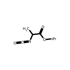 CCCOC(=O)C(C)N=C=O